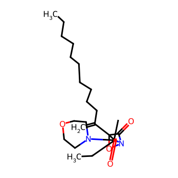 C=C(CCCCCCCCCC)C12ON(C1=O)C(=O)C2(CC)N1CCOCC1